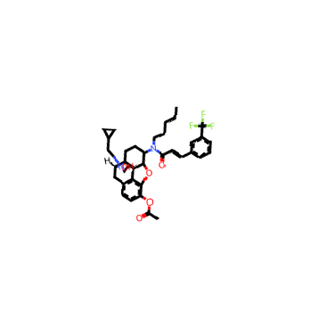 CCCCCN(C(=O)/C=C/c1cccc(C(F)(F)F)c1)C1CC[C@@]2(O)[C@H]3Cc4ccc(OC(C)=O)c5c4[C@@]2(CCN3CC2CC2)C1O5